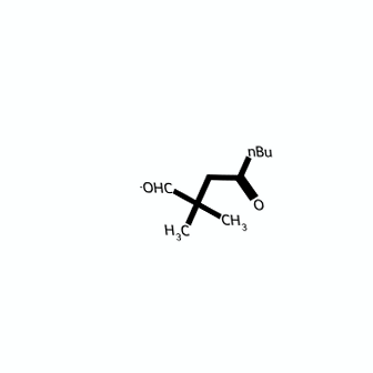 CCCCC(=O)CC(C)(C)[C]=O